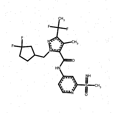 Cc1c(C(C)(F)F)nn(CC2CCC(F)(F)C2)c1C(=O)Nc1ccnc(S(C)(=N)=O)c1